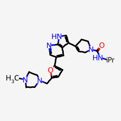 CC(C)NC(=O)N1CC=C(c2c[nH]c3ncc(-c4ccc(CN5CCN(C)CC5)o4)cc23)CC1